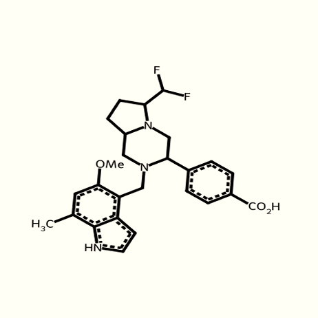 COc1cc(C)c2[nH]ccc2c1CN1CC2CCC(C(F)F)N2CC1c1ccc(C(=O)O)cc1